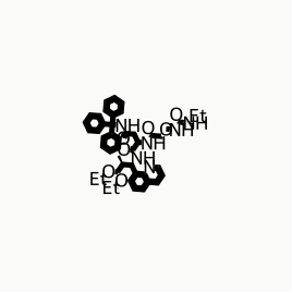 CCNC(=O)NOCC(=O)NC(CC(=O)NC(c1ccccc1)(c1ccccc1)c1ccccc1)C(=O)N[C@H](c1cccc2cccnc12)[C@H](C)C(OCC)OCC